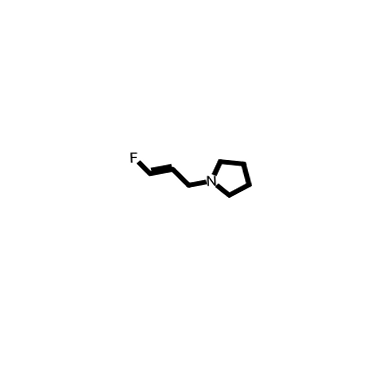 FC=CCN1CCCC1